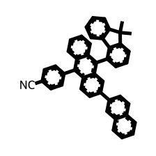 CC1(C)c2ccccc2-c2c(-c3c4ccccc4c(-c4ccc(C#N)cc4)c4ccc(-c5ccc6ccccc6c5)cc34)cccc21